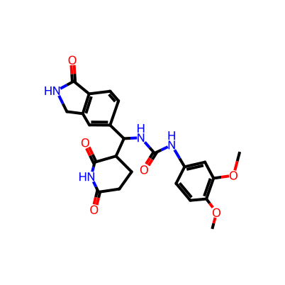 COc1ccc(NC(=O)NC(c2ccc3c(c2)CNC3=O)C2CCC(=O)NC2=O)cc1OC